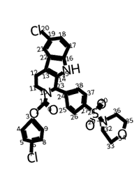 O=C(Oc1ccc(Cl)cc1)N1CCc2c([nH]c3ccc(Cl)cc23)C1c1ccc(S(=O)(=O)N2CCOCC2)cc1